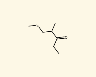 CCC(=O)C(C)CSC